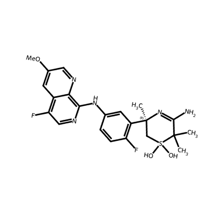 COc1cnc2c(Nc3ccc(F)c([C@]4(C)CS(O)(O)C(C)(C)C(N)=N4)c3)ncc(F)c2c1